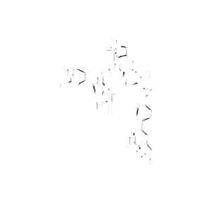 Cn1cc(C[C@@H](NC(=O)[C@H]2C[C@@H]2c2ccc(-c3cnc4nn(C)cc4c3)cc2)C(=O)NC(C)(C)Cn2nc(C(F)(F)F)cc2-c2ccn(C)c(=O)c2)cn1